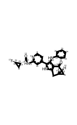 CC12Cc3[nH]c(-c4ccnc(NC(=O)[C@@H]5C[C@@H]5F)c4)c(Nc4ccccc4)c3C(=O)[C@H]1C2